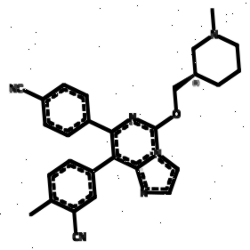 Cc1ccc(-c2c(-c3ccc(C#N)cc3)nc(OC[C@@H]3CCCN(C)C3)n3ccnc23)cc1C#N